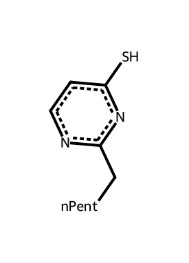 CCCCCCc1nccc(S)n1